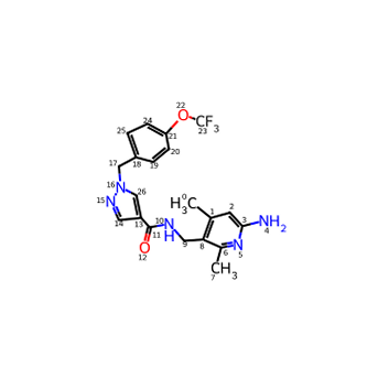 Cc1cc(N)nc(C)c1CNC(=O)c1cnn(Cc2ccc(OC(F)(F)F)cc2)c1